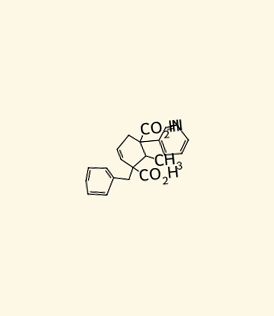 CC1C(Cc2ccccc2)(C(=O)O)C=CCC1(C(=O)O)c1cccnc1